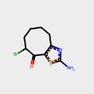 Nc1nc2c(s1)C(=O)C(Br)CCCC2